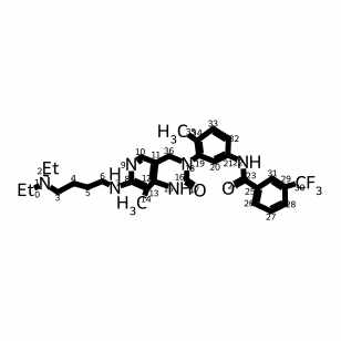 CCN(CC)CCCCNc1ncc2c(c1C)NC(=O)N(c1cc(NC(=O)c3cccc(C(F)(F)F)c3)ccc1C)C2